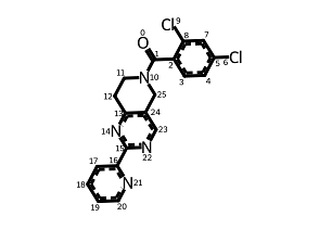 O=C(c1ccc(Cl)cc1Cl)N1CCc2nc(-c3ccccn3)ncc2C1